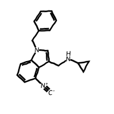 [C-]#[N+]c1cccc2c1c(CNC1CC1)cn2Cc1ccccc1